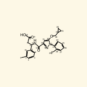 Cc1cccc(C(CC(=O)O)NC(=O)c2cc(OCC3CC3)n(-c3ccccc3F)n2)c1